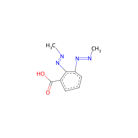 CN=Nc1cccc(C(=O)O)c1N=NC